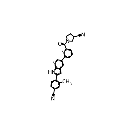 Cc1cc(C#N)ccc1-c1cc2cc(-c3cccc(C(=O)N4CCC(C#N)C4)n3)cnc2[nH]1